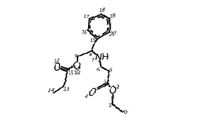 CCOC(=O)CCNC(COC(=O)CC)c1ccccc1